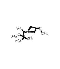 COC1CN(C(C)C(C)(C)C)C1